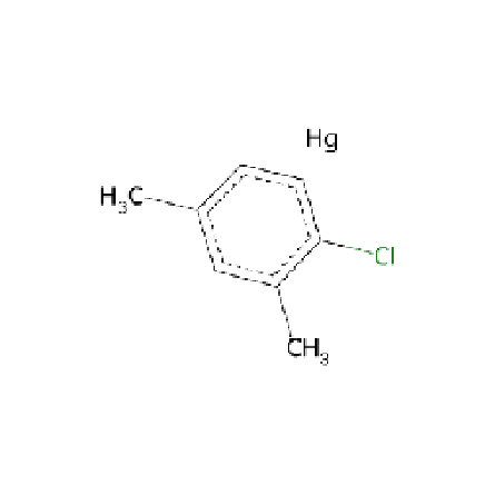 Cc1ccc(Cl)c(C)c1.[Hg]